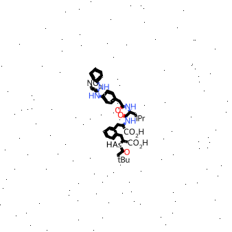 CC(C)CC(NC(=O)Cc1ccc(N/C(=C/[N+](=O)[O-])Nc2ccccc2)cc1)C(=O)NC(Cc1ccccc1CC([AsH]C(=O)CC(C)(C)C)C(=O)O)C(=O)O